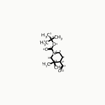 CC(C)(C)OC(=O)N1CCC(C=O)C(C)(C)C1